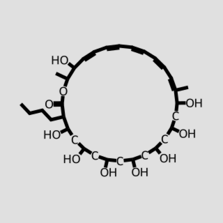 CCCCC1C(=O)OC(C)C(O)\C=C/C=C\C=C/C=C\C=C(\C)C(O)CC(O)CC(O)CC(O)CC(O)CC(O)CC1O